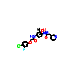 O=C(COc1ccc(Cl)c(F)c1)NC12CCC(NC(=O)Cc3cccnc3)(CC1)[C@@H](O)C2